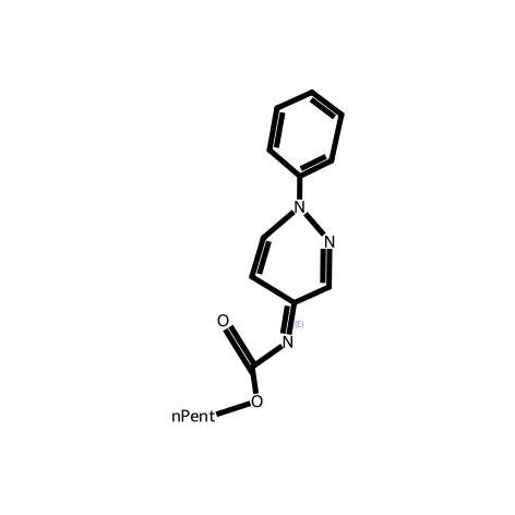 CCCCCOC(=O)/N=c1\ccn(-c2ccccc2)nc1